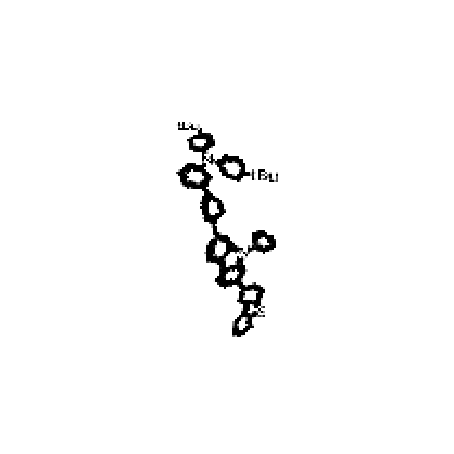 CC(C)(C)c1ccc(N(c2ccc(C(C)(C)C)cc2)c2cccc(-c3ccc(-c4ccc5c6ccc(-c7ccc8sc9ccccc9c8c7)cc6n(-c6ccccc6)c5c4)cc3)c2)cc1